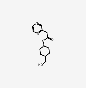 O=C(Cc1cnccn1)ON1CCC(CO)CC1